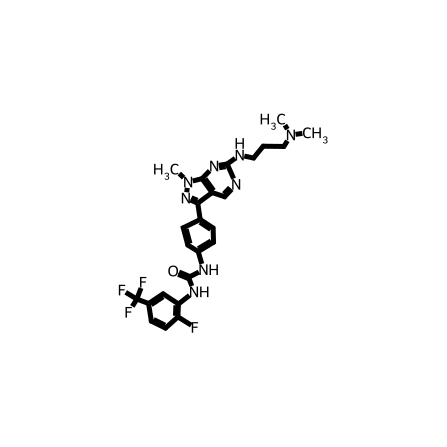 CN(C)CCCNc1ncc2c(-c3ccc(NC(=O)Nc4cc(C(F)(F)F)ccc4F)cc3)nn(C)c2n1